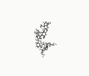 [2H]C([2H])([2H])n1nc(C(C)(CCCC(C)(C)CS(=O)(=O)CC(=O)OCC)c2cccc(OCC(=O)OCC)c2)nc1-c1cc(Oc2c(F)cc3[nH]ccc3c2C=C)ccc1F